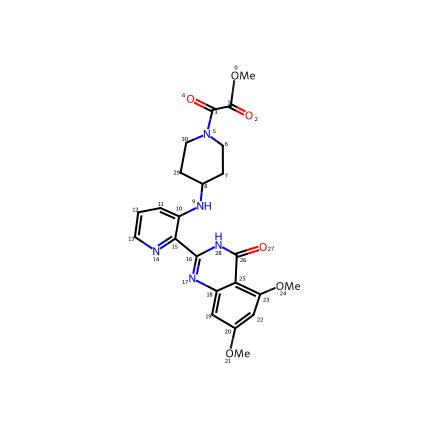 COC(=O)C(=O)N1CCC(Nc2cccnc2-c2nc3cc(OC)cc(OC)c3c(=O)[nH]2)CC1